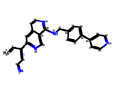 C=C/C(=C\C=N)c1cc2ccnc(NCc3ccc(-c4ccncc4)cc3)c2cn1